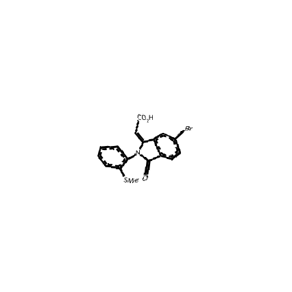 CSc1ccccc1N1C(=O)c2ccc(Br)cc2/C1=C\C(=O)O